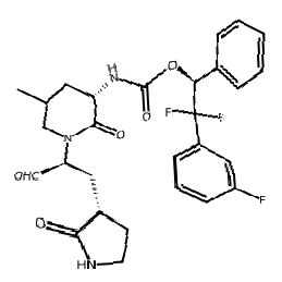 CC1C[C@H](NC(=O)O[C@@H](c2ccccc2)C(F)(F)c2cccc(F)c2)C(=O)N([C@H](C=O)C[C@@H]2CCNC2=O)C1